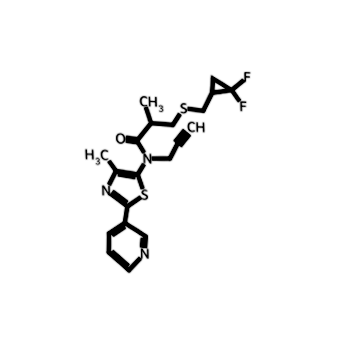 C#CCN(C(=O)C(C)CSCC1CC1(F)F)c1sc(-c2cccnc2)nc1C